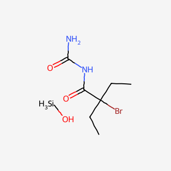 CCC(Br)(CC)C(=O)NC(N)=O.O[SiH3]